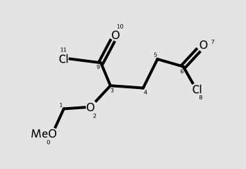 COCOC(CCC(=O)Cl)C(=O)Cl